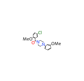 COc1cccc(N2CCN(C(=O)c3cc(Cl)ccc3OC)CC2)c1